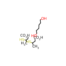 CC(S)CC(=O)O.CC(S)CC(=O)O.OCCCCCCO